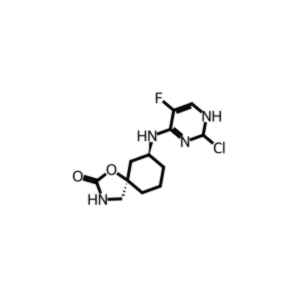 O=C1NC[C@]2(CCC[C@H](NC3=NC(Cl)NC=C3F)C2)O1